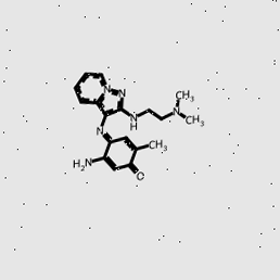 CC1=C/C(=N\c2c(NCCN(C)C)nn3ccccc23)C(N)=CC1=O